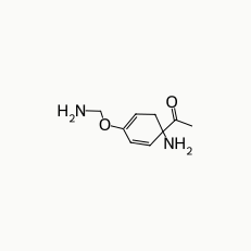 CC(=O)C1(N)C=CC(OCN)=CC1